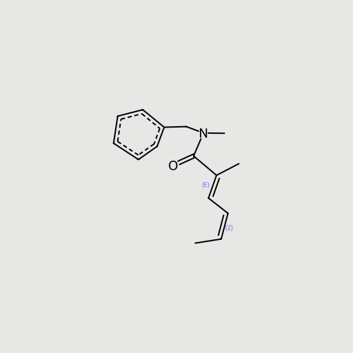 C/C=C\C=C(/C)C(=O)N(C)Cc1ccccc1